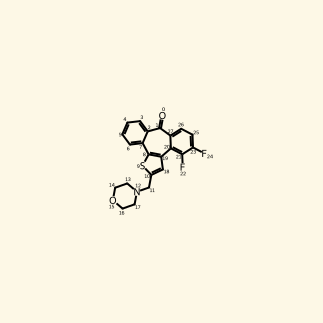 O=c1c2ccccc2c2sc(CN3CCOCC3)cc2c2c(F)c(F)ccc12